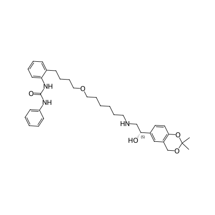 CC1(C)OCc2cc([C@H](O)CNCCCCCCOCCCCc3ccccc3NC(=O)Nc3ccccc3)ccc2O1